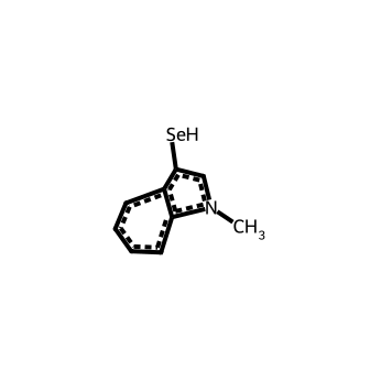 Cn1cc([SeH])c2ccccc21